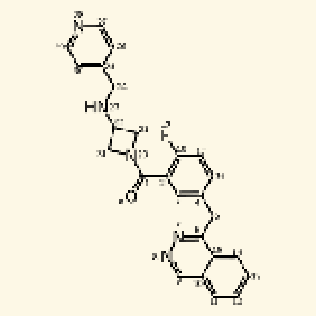 O=C(c1cc(Cc2nncc3ccccc23)ccc1F)N1CC(NCc2ccncc2)C1